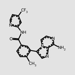 Cc1ccc(C(=O)Nc2cc(C(F)(F)F)ccn2)cc1-c1cnc2c(N)nccn12